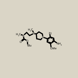 CCc1cc(N)c(OC)cc1N1CCC(N(C)CCN(C)C(=O)OC(C)(C)C)CC1